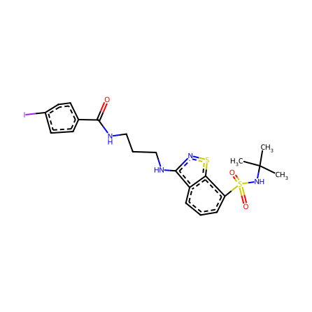 CC(C)(C)NS(=O)(=O)c1cccc2c(NCCCNC(=O)c3ccc(I)cc3)nsc12